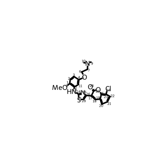 COc1ccc(OCCN(C)C)cc1Nc1nc(-c2cc3cccc(Cl)c3oc2=O)cs1